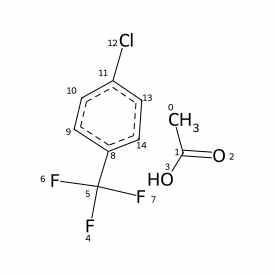 CC(=O)O.FC(F)(F)c1ccc(Cl)cc1